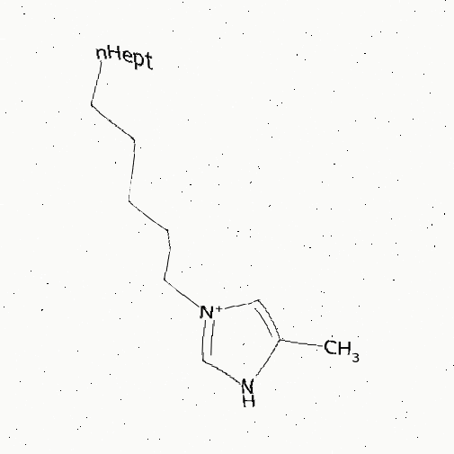 CCCCCCCCCCCC[n+]1c[nH]c(C)c1